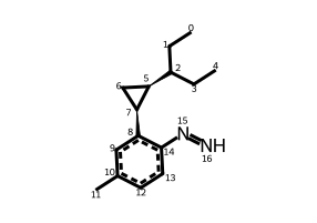 CCC(CC)[C@@H]1C[C@@H]1c1cc(C)ccc1N=N